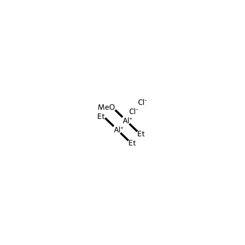 C[CH2][Al+][CH2]C.C[CH2][Al+][O]C.[Cl-].[Cl-]